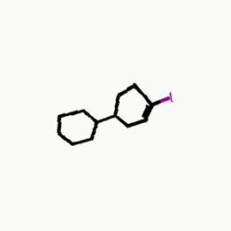 IC1=CCC(C2CCCCC2)CC1